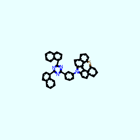 c1cc(-c2nc(-c3cccc4ccccc34)nc(-c3cccc4ccccc34)n2)cc(-n2c3ccc4cccc5sc6cccc7ccc2c(c76)c3c45)c1